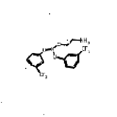 NCCOB(Oc1cccc(C(F)(F)F)c1)Oc1cccc(C(F)(F)F)c1